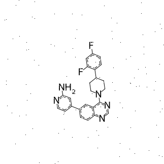 Nc1cc(-c2ccc3ncnc(N4CCC(c5ccc(F)cc5F)CC4)c3c2)ccn1